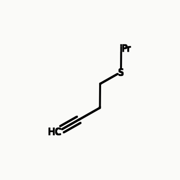 C#CCCSC(C)C